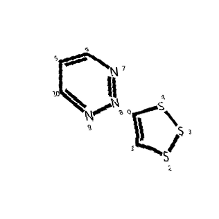 C1=CSSS1.c1cnnnc1